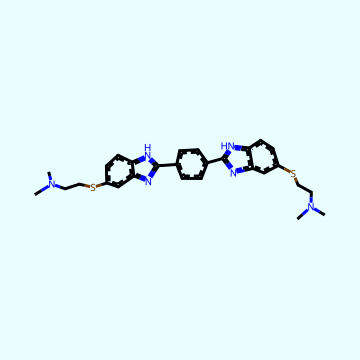 CN(C)CCSc1ccc2[nH]c(-c3ccc(-c4nc5cc(SCCN(C)C)ccc5[nH]4)cc3)nc2c1